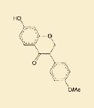 COc1ccc(C2COc3cc(O)ccc3C2=O)cc1